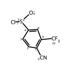 N#Cc1ccc([S+]([O-])Cl)cc1C(F)(F)F